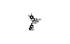 CCCS(=O)(=O)NC(Cc1ccc(F)c(F)c1)C(=O)NCc1cnc2[nH]ccc2c1